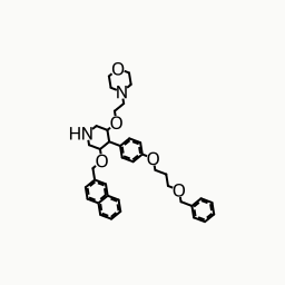 c1ccc(COCCCOc2ccc(C3C(OCCN4CCOCC4)CNCC3OCc3ccc4ccccc4c3)cc2)cc1